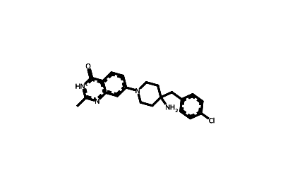 Cc1nc2cc(N3CCC(N)(Cc4ccc(Cl)cc4)CC3)ccc2c(=O)[nH]1